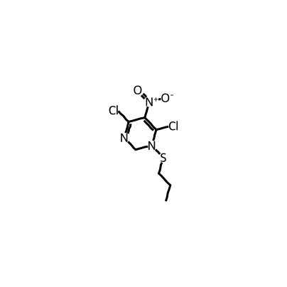 CCCSN1CN=C(Cl)C([N+](=O)[O-])=C1Cl